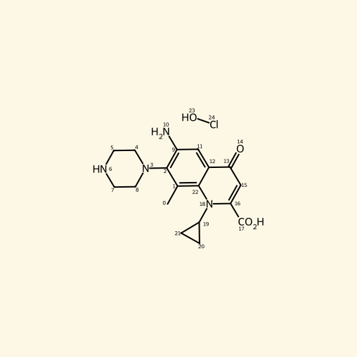 Cc1c(N2CCNCC2)c(N)cc2c(=O)cc(C(=O)O)n(C3CC3)c12.OCl